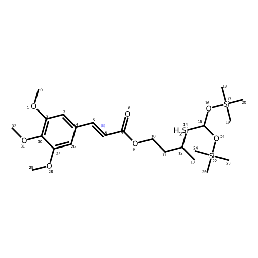 COc1cc(/C=C/C(=O)OCCC(C)[SiH2]C(O[Si](C)(C)C)O[Si](C)(C)C)cc(OC)c1OC